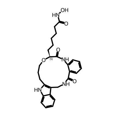 O=C(CCCCC[C@@H]1OCCCc2[nH]c3ccccc3c2CNC(=O)c2ccccc2NC1=O)NO